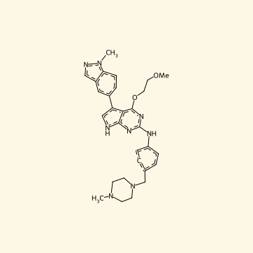 COCCOc1nc(Nc2ccc(CN3CCN(C)CC3)cc2)nc2[nH]cc(-c3ccc4c(cnn4C)c3)c12